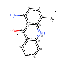 CC(=O)c1ccc(N)c2c(=O)c3ccccc3[nH]c12